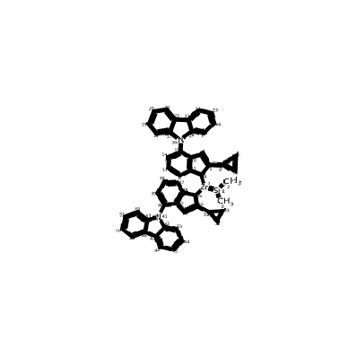 C[Si](C)=[Zr]([CH]1C(C2CC2)=Cc2c1cccc2-n1c2ccccc2c2ccccc21)[CH]1C(C2CC2)=Cc2c1cccc2-n1c2ccccc2c2ccccc21